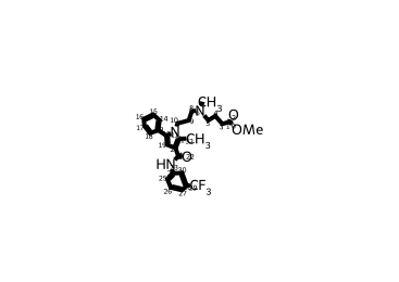 COC(=O)CCCN(C)CCCn1c(-c2ccccc2)cc(C(=O)Nc2cccc(C(F)(F)F)c2)c1C